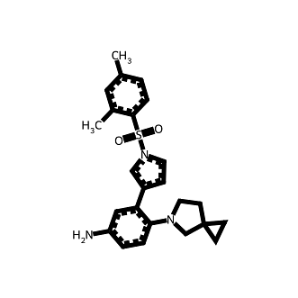 Cc1ccc(S(=O)(=O)n2ccc(-c3cc(N)ccc3N3CCC4(CC4)C3)c2)c(C)c1